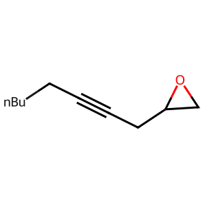 CCCCCC#CCC1CO1